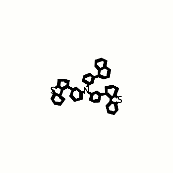 c1cc(-c2cccc3ccccc23)cc(N(c2cccc(-c3cccc4sc5ccccc5c34)c2)c2cccc(-c3cccc4sc5ccccc5c34)c2)c1